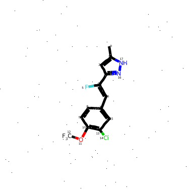 Cc1cc(/C(F)=C/c2ccc(OC(F)(F)F)c(Cl)c2)n[nH]1